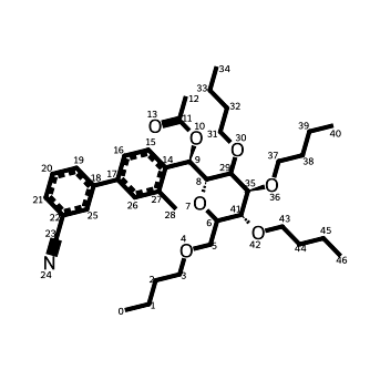 CCCCOCC1O[C@H]([C@H](OC(C)=O)c2ccc(-c3cccc(C#N)c3)cc2C)C(OCCCC)[C@@H](OCCCC)[C@@H]1OCCCC